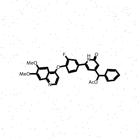 COc1cc2nccc(Oc3ccc(-c4cc(C(OC(C)=O)c5ccccc5)cc(=O)[nH]4)cc3F)c2cc1OC